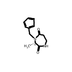 C[C@H]1C(=O)NCCC(=O)N1Cc1ccccc1